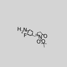 CC(C)(C)OC(=O)N1C(=O)CC[C@H]1Cc1ccc(N)c(F)c1